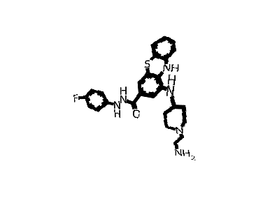 NCCN1CCC(Nc2cc(C(=O)NNc3ccc(F)cc3)cc3c2Nc2ccccc2S3)CC1